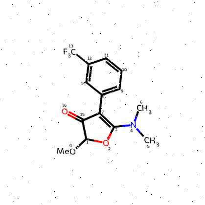 COC1OC(N(C)C)=C(c2cccc(C(F)(F)F)c2)C1=O